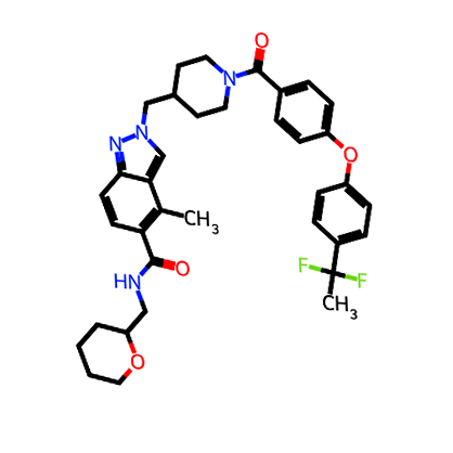 Cc1c(C(=O)NCC2CCCCO2)ccc2nn(CC3CCN(C(=O)c4ccc(Oc5ccc(C(C)(F)F)cc5)cc4)CC3)cc12